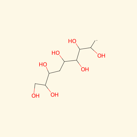 [CH2]C(O)C(O)C(O)C(O)CC(O)C(O)CO